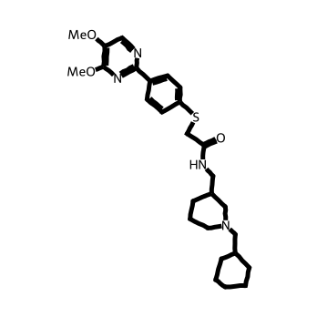 COc1cnc(-c2ccc(SCC(=O)NCC3CCCN(CC4CCCCC4)C3)cc2)nc1OC